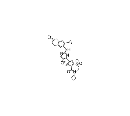 CCN1CCc2cc(Nc3ncc(C(F)(F)F)c(-c4cc5c(s4)C(=O)N(C4CCC4)CCS5(=O)=O)n3)c(C3CC3)cc2C1